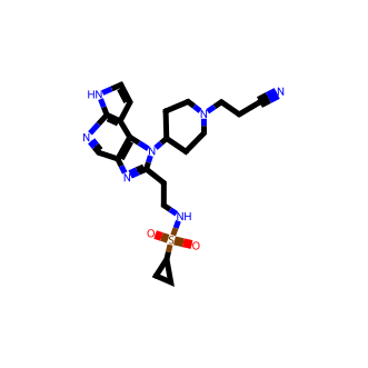 N#CCCN1CCC(n2c(CCNS(=O)(=O)C3CC3)nc3cnc4[nH]ccc4c32)CC1